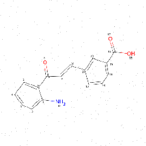 Nc1ccccc1C(=O)C=Cc1cccc(C(=O)O)c1